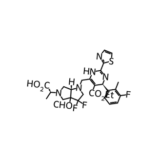 CCOC(=O)C1=C(CN2CC(F)(F)C3(C=O)CN([C@@H](C)C(=O)O)C[C@H]23)NC(c2nccs2)=N[C@H]1c1cccc(F)c1C